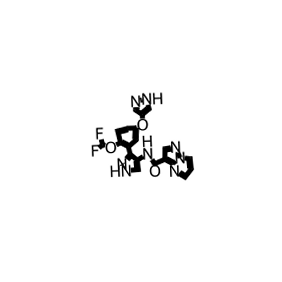 O=C(Nc1c[nH]nc1-c1cc(Oc2cn[nH]c2)ccc1OC(F)F)c1cnn2cccnc12